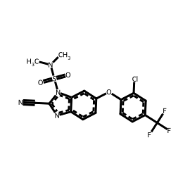 CN(C)S(=O)(=O)n1c(C#N)nc2ccc(Oc3ccc(C(F)(F)F)cc3Cl)cc21